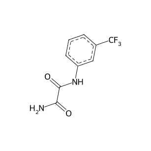 NC(=O)C(=O)Nc1cccc(C(F)(F)F)c1